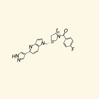 C[C@@H]1C[C@@H](Cn2ccc3nc(-c4cn[nH]c4)ccc32)CN1C(=O)c1ccc(F)cc1